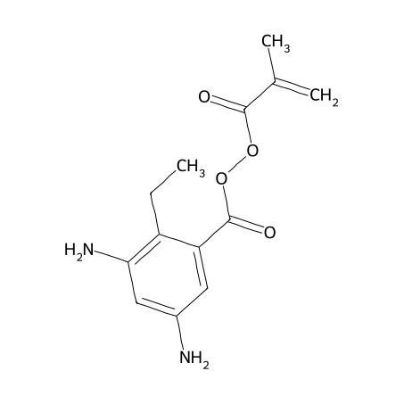 C=C(C)C(=O)OOC(=O)c1cc(N)cc(N)c1CC